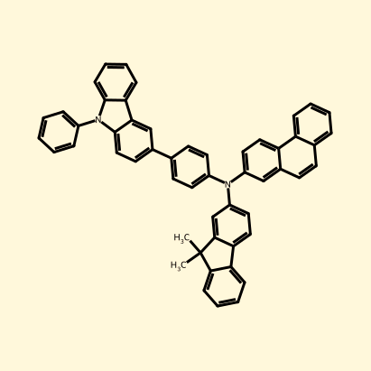 CC1(C)c2ccccc2-c2ccc(N(c3ccc(-c4ccc5c(c4)c4ccccc4n5-c4ccccc4)cc3)c3ccc4c(ccc5ccccc54)c3)cc21